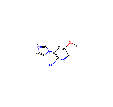 COc1cnc(N)c(-n2ccnc2)c1